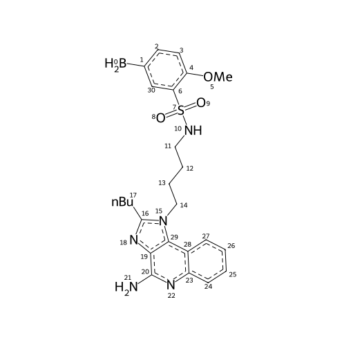 Bc1ccc(OC)c(S(=O)(=O)NCCCCn2c(CCCC)nc3c(N)nc4ccccc4c32)c1